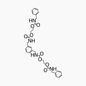 O=C(NCc1ccccc1)OCCOC(=O)NCc1cccc(CNC(=O)OCCOC(=O)NCc2ccccc2)c1